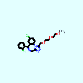 COCCOCCOCc1nnc2n1-c1ccc(Cl)cc1C(c1ccccc1Cl)=NC2